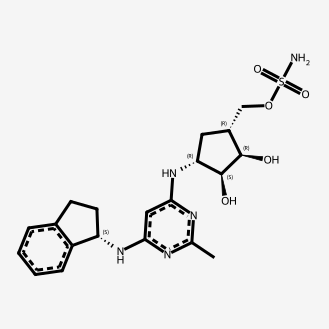 Cc1nc(N[C@H]2CCc3ccccc32)cc(N[C@@H]2C[C@H](COS(N)(=O)=O)[C@@H](O)[C@H]2O)n1